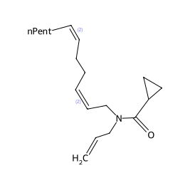 C=CCN(C/C=C\CC/C=C\CCCCC)C(=O)C1CC1